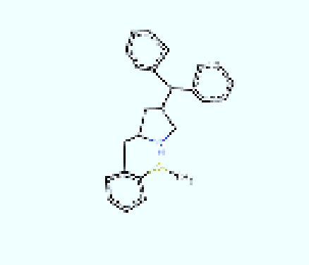 CSc1ccccc1CC1CC(C(c2ccccc2)c2ccccc2)CN1